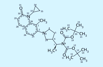 Cc1c(N2CCC([C@H](C)N(C(=O)OC(C)(C)C)C(=O)OC(C)(C)C)C2)ccc2ccc(=O)n(C3CC3)c12